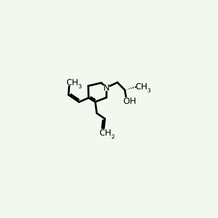 C=CCC1=C(/C=C\C)CCN(C[C@H](C)O)C1